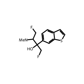 CNC(CF)C(O)(CF)c1ccc2ccsc2c1